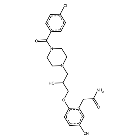 N#Cc1ccc(OCC(O)CN2CCN(C(=O)c3ccc(Cl)cc3)CC2)c(CC(N)=O)c1